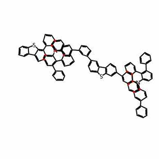 c1ccc(-c2ccc(N(c3ccc(-c4ccc5c(c4)sc4ccc(-c6cccc(-c7ccc(N(c8ccccc8-c8cccc9c8sc8ccccc89)c8cccc(-c9ccccc9)c8-c8ccccc8-c8ccccc8)cc7)c6)cc45)cc3)c3cccc(-c4ccccc4)c3-c3ccccc3-c3ccccc3)cc2)cc1